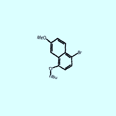 CCCCOc1ccc(Br)c2ccc(OC)cc12